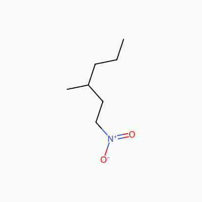 CCCC(C)CC[N+](=O)[O-]